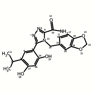 CC(C)c1cc(-c2nnc(C(N)=O)n2Cc2ccc3c(c2)OCO3)c(O)cc1O